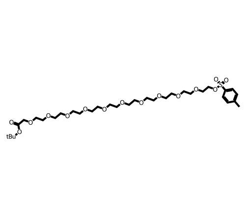 Cc1ccc(S(=O)(=O)OCCOCCOCCOCCOCCOCCOCCOCCOCCOCCOCC(=O)OC(C)(C)C)cc1